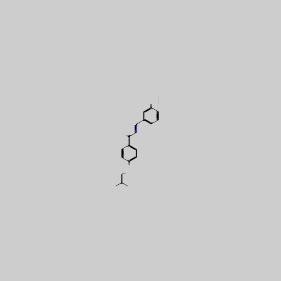 CC(C)COc1ccc(C(=O)/C=C/c2cccc(O)c2)cc1